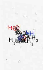 COc1cc(C)c2[nH]ccc2c1CN1C[C@@H]2CC[C@H](C)N2C[C@@H]1c1ccc(C(=O)O)cc1